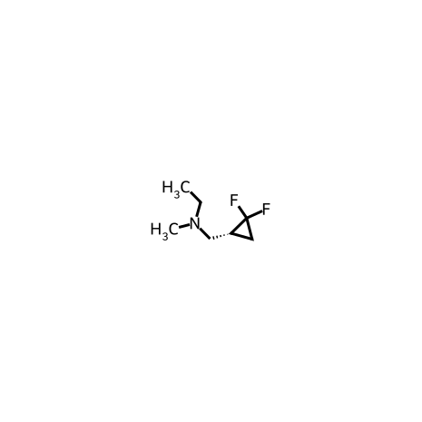 CCN(C)C[C@H]1CC1(F)F